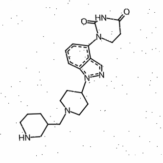 O=C1CCN(c2cccc3c2cnn3C2CCN(CC3CCCNC3)CC2)C(=O)N1